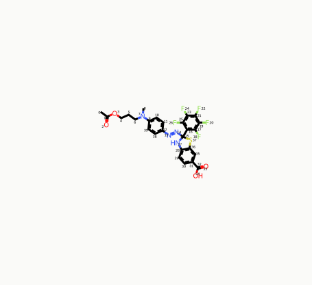 CC(=O)OCCCN(C)c1ccc(/N=N/C2(c3c(F)c(F)c(F)c(F)c3F)Nc3ccc(C(=O)O)cc3S2)cc1